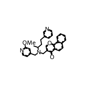 COc1cc(CN(Cc2coc3c(ccc4ccccc43)c2=O)C(C)CCc2cccnc2)ccn1